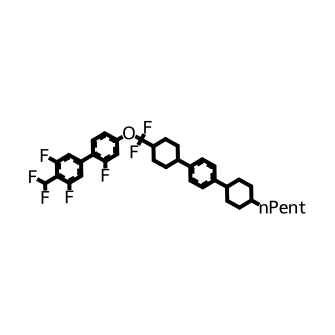 CCCCCC1CCC(c2ccc(C3CCC(C(F)(F)Oc4ccc(-c5cc(F)c(C(F)F)c(F)c5)c(F)c4)CC3)cc2)CC1